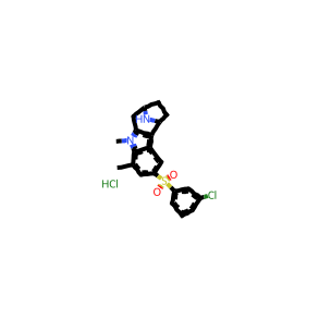 Cc1cc(S(=O)(=O)c2cccc(Cl)c2)cc2c3c(n(C)c12)CC1CCC3N1.Cl